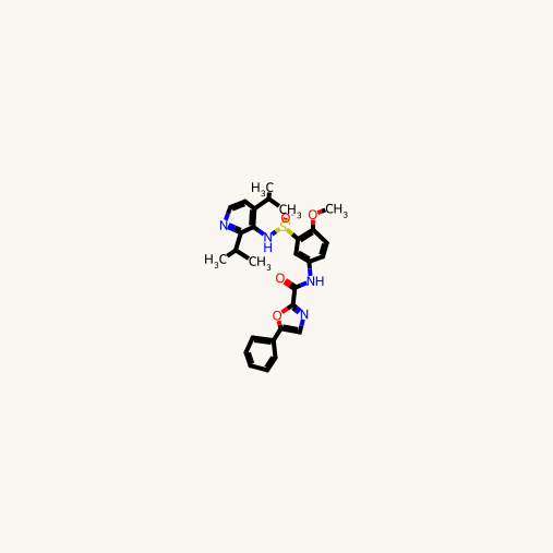 COc1ccc(NC(=O)c2ncc(-c3ccccc3)o2)cc1[S+]([O-])Nc1c(C(C)C)ccnc1C(C)C